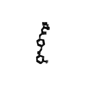 NC(=O)CNCc1ccc(COc2cccc(F)c2)cc1